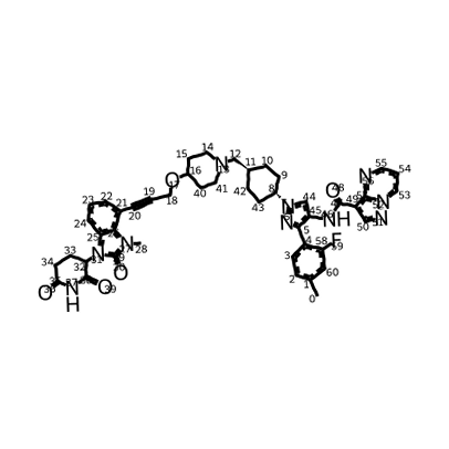 Cc1ccc(-c2nn([C@H]3CC[C@H](CN4CCC(OCC#Cc5cccc6c5n(C)c(=O)n6C5CCC(=O)NC5=O)CC4)CC3)cc2NC(=O)c2cnn3cccnc23)c(F)c1